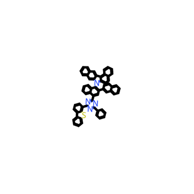 c1ccc(-c2nc(-c3cc(-c4ccc5ccccc5c4)c(-n4c5cc6ccccc6cc5c5c6ccccc6ccc54)c4ccccc34)nc(-c3cccc4c3sc3ccccc34)n2)cc1